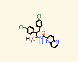 CC(NC(=O)c1ccc2ncccc2n1)C(Cc1ccc(Cl)cc1)c1ccc(Cl)cc1